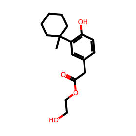 CC1(c2cc(CC(=O)OCCO)ccc2O)CCCCC1